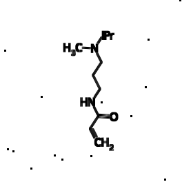 C=CC(=O)NCCCN(C)C(C)C